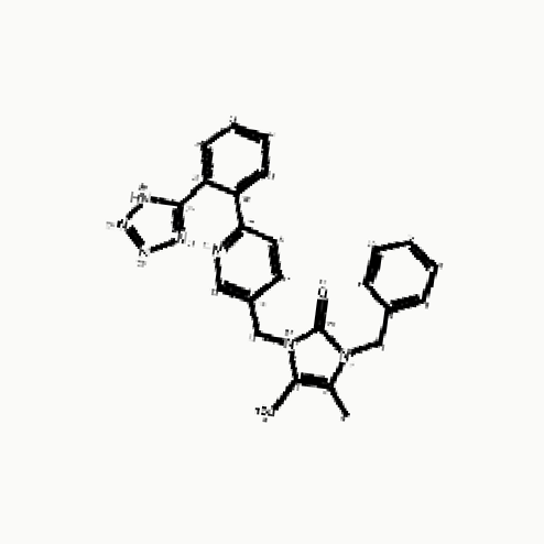 CCCCc1c(C)n(Cc2ccccc2)c(=O)n1Cc1ccc(-c2ccccc2-c2nnn[nH]2)nc1